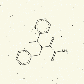 CC(c1ccccn1)N(Cc1ccccc1)C(=O)C(N)=O